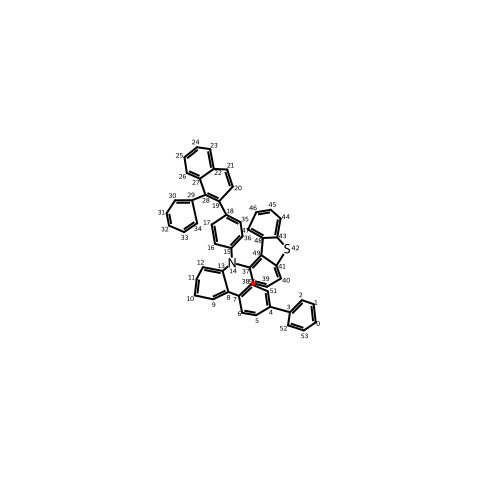 c1ccc(-c2ccc(-c3ccccc3N(c3ccc(-c4ccc5ccccc5c4-c4ccccc4)cc3)c3cccc4sc5ccccc5c34)cc2)cc1